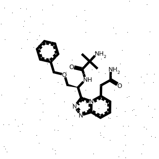 CC(C)(N)C(=O)N[C@H](COCc1ccccc1)c1nnc2cccc(CC(N)=O)n12